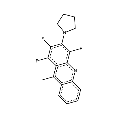 Cc1c2ccccc2nc2c(F)c(N3CCCC3)c(F)c(F)c12